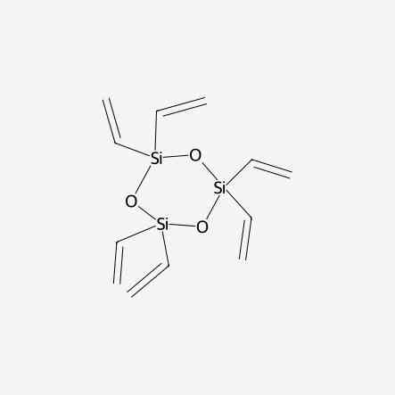 C=C[Si]1(C=C)O[Si](C=C)(C=C)O[Si](C=C)(C=C)O1